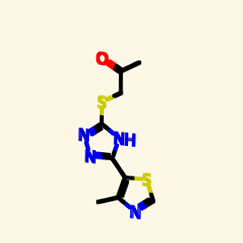 CC(=O)CSc1nnc(-c2scnc2C)[nH]1